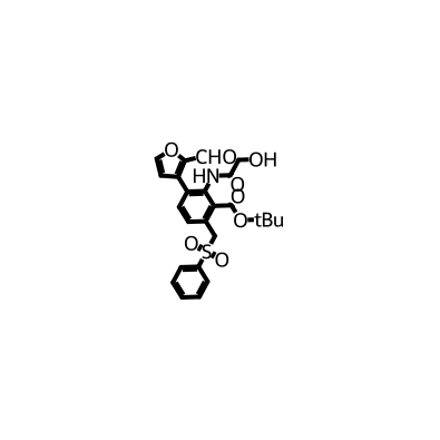 CC(C)(C)OC(=O)c1c(CS(=O)(=O)c2ccccc2)ccc(-c2ccoc2C=O)c1NC(=O)CO